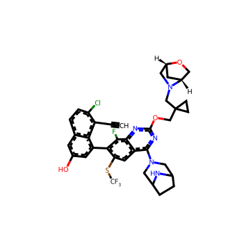 C#Cc1c(Cl)ccc2cc(O)cc(-c3c(SC(F)(F)F)cc4c(N5CC6CCC(C5)N6)nc(OCC5(CN6C[C@H]7C[C@@H]6CO7)CC5)nc4c3F)c12